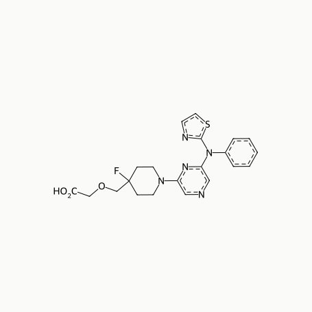 O=C(O)COCC1(F)CCN(c2cncc(N(c3ccccc3)c3nccs3)n2)CC1